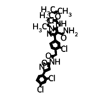 CC(C)n1nc(-c2ccc(CC(=O)Nc3cc(-c4ccc(Cl)cc4Cl)no3)c(Cl)c2)c(C(N)=O)c1NC(=O)OC(C)(C)C